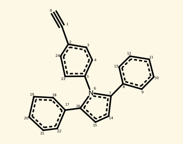 C#Cc1ccc(-n2c(-c3ccccc3)ccc2-c2ccccc2)cc1